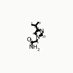 CC(C)c1cn(CC(N)=O)cn1